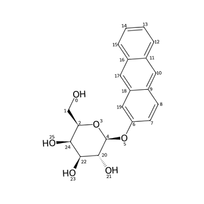 OC[C@H]1O[C@@H](Oc2ccc3cc4ccccc4cc3c2)[C@H](O)[C@@H](O)[C@H]1O